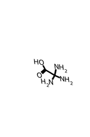 NC(N)(N)C(=O)O